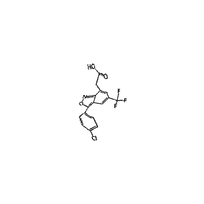 O=C(O)Cc1cc(C(F)(F)F)cc2c(-c3ccc(Cl)cc3)onc12